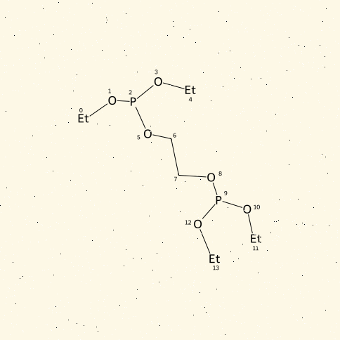 CCOP(OCC)OCCOP(OCC)OCC